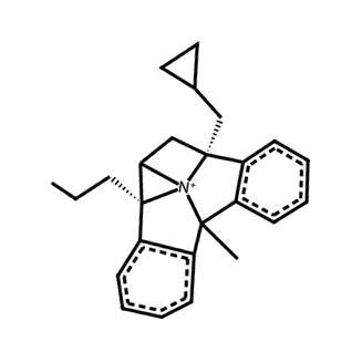 CCC[C@]12c3ccccc3C3(C)c4ccccc4[C@]4(CC5CC5)CC1[N+]342